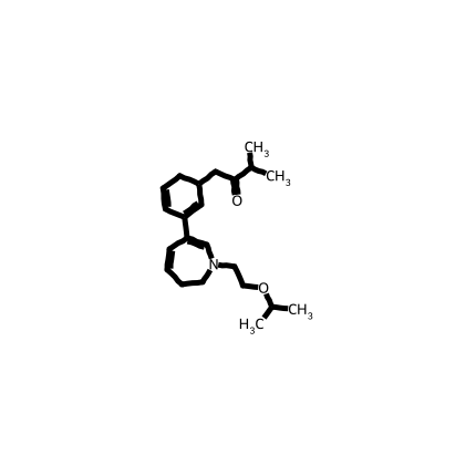 CC(C)OCCN1C=C(C2=CC(CC(=O)C(C)C)CC=C2)C=CCC1